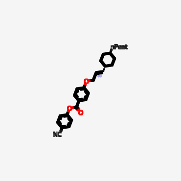 CCCCC[C@H]1CC[C@H](/C=C/COc2ccc(C(=O)Oc3ccc(C#N)cc3)cc2)CC1